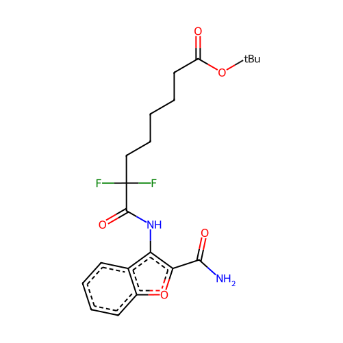 CC(C)(C)OC(=O)CCCCCC(F)(F)C(=O)Nc1c(C(N)=O)oc2ccccc12